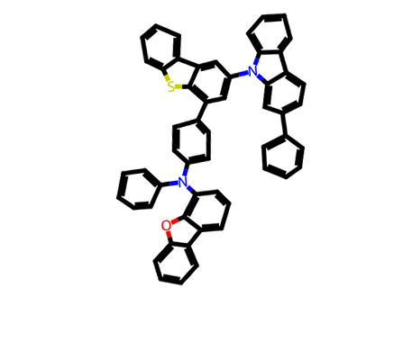 c1ccc(-c2ccc3c4ccccc4n(-c4cc(-c5ccc(N(c6ccccc6)c6cccc7c6oc6ccccc67)cc5)c5sc6ccccc6c5c4)c3c2)cc1